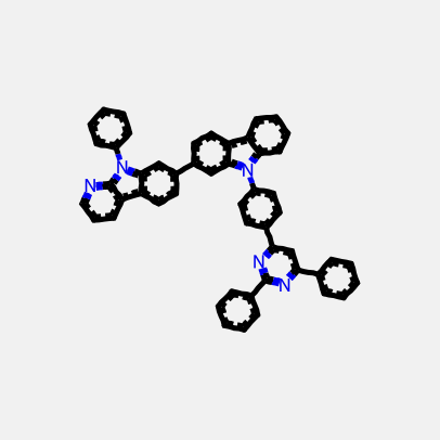 c1ccc(-c2cc(-c3ccc(-n4c5ccccc5c5ccc(-c6ccc7c8cccnc8n(-c8ccccc8)c7c6)cc54)cc3)nc(-c3ccccc3)n2)cc1